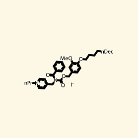 CCCCCCCCCCCCCCOc1ccc(COC(=O)N(Cc2cc[n+](CCC)cc2)C(=O)c2ccccc2)cc1OC.[I-]